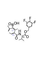 C=C1COB(O)/C1=C(C)/C(=C\C)C(=O)N[C@H](C(=O)OCc1cc(F)c(F)c(F)c1)C(C)C